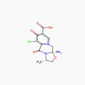 C[C@H]1CO[C@]2(N)Cn3cc(C(=O)O)c(=O)c(Cl)c3C(=O)N12